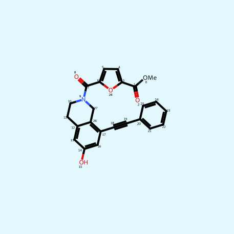 COC(=O)c1ccc(C(=O)N2CCc3cc(O)cc(C#Cc4ccccc4)c3C2)o1